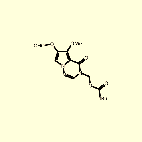 COc1c(OC=O)cn2ncn(COC(=O)C(C)(C)C)c(=O)c12